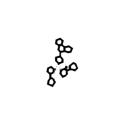 c1ccc2c(c1)cc(-c1ccc(N(c3cccc4c3sc3ccccc34)c3cccc4c3sc3ccccc34)cc1)c1ccccc12